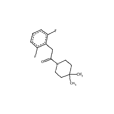 CC1(C)CCN(C(=O)Cc2c(F)cccc2F)CC1